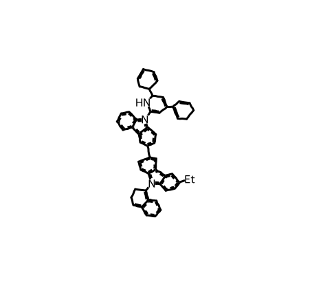 CCc1ccc2c(c1)c1cc(-c3ccc4c(c3)c3ccccc3n4C3=CC(C4=CCCC=C4)=CC(C4C=CC=CC4)N3)ccc1n2C1=c2ccccc2=CCC1